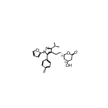 CC(C)c1nn(-c2ccco2)c(-c2ccc(F)cc2)c1CC[C@H]1C[C@H](O)CC(=O)O1